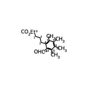 CCOC(=O)CCCc1c(C)c(C)c(C)c(C)c1C=O